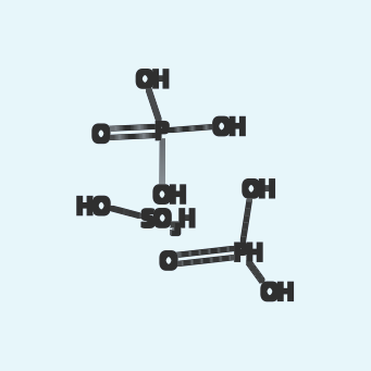 O=P(O)(O)O.O=S(=O)(O)O.O=[PH](O)O